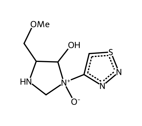 COCC1NC[N+]([O-])(c2csnn2)C1O